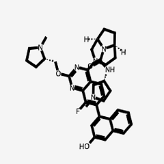 CN1CC[C@@H](NC(=O)N2[C@H]3CC[C@@H]2CN(c2nc(OC[C@@H]4CCCN4C)nc4c(F)c(-c5cc(O)cc6ccccc56)ccc24)CC3)C1